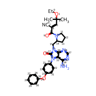 CCOC(C)(C)C=C(C#N)C(=O)N1CCCC1Cn1c(=O)n(-c2ccc(Oc3ccccc3)cc2)c2c(N)ncnc21